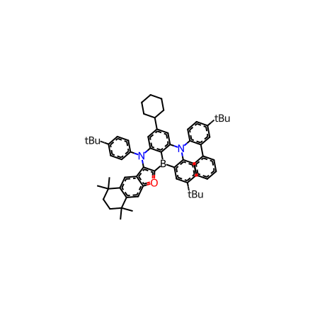 CC(C)(C)c1ccc(N2c3cc(C4CCCCC4)cc4c3B(c3cc(C(C)(C)C)ccc3N4c3ccc(C(C)(C)C)cc3-c3ccccc3)c3oc4cc5c(cc4c32)C(C)(C)CCC5(C)C)cc1